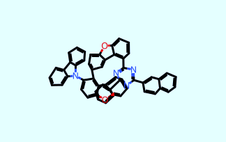 c1ccc(-c2nc(-c3ccc4ccccc4c3)nc(-c3cccc4oc5ccc(-c6c(-n7c8ccccc8c8ccccc87)ccc7oc8ccccc8c67)cc5c34)n2)cc1